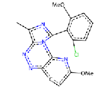 COc1ccc2nnc3c(C)nc(-c4c(Cl)cccc4OC)n3c2n1